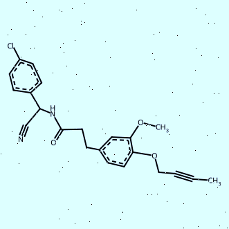 CC#CCOc1ccc(CCC(=O)NC(C#N)c2ccc(Cl)cc2)cc1OC